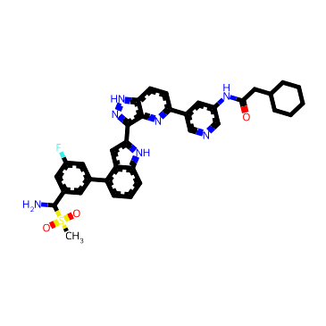 CS(=O)(=O)C(N)c1cc(F)cc(-c2cccc3[nH]c(-c4n[nH]c5ccc(-c6cncc(NC(=O)CC7CCCCC7)c6)nc45)cc23)c1